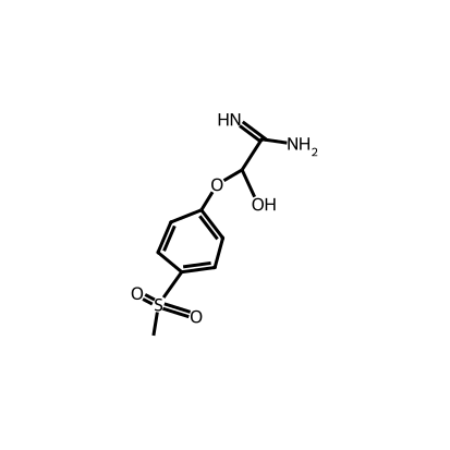 CS(=O)(=O)c1ccc(OC(O)C(=N)N)cc1